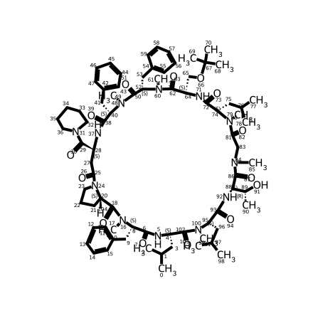 CC(C)C[C@@H]1NC(=O)[C@H](Cc2ccccc2)N(C)C(=O)[C@@H]2CCCN2C(=O)C[C@@H](C(=O)N2CCCCC2)NC(=O)[C@H](Cc2ccccc2)N(C)C(=O)[C@H](Cc2ccccc2)N(C)C(=O)[C@H](COC(C)(C)C)NC(=O)[C@H](CC(C)C)N(C)C(=O)CN(C)C(=O)[C@H]([C@@H](C)O)NC(=O)[C@H](CC(C)C)N(C)C1=O